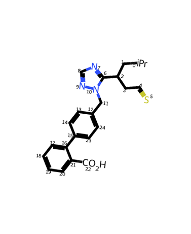 CC(C)CC(CC=S)c1ncnn1Cc1ccc(-c2ccccc2C(=O)O)cc1